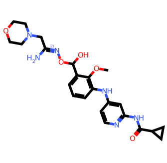 COc1c(Nc2ccnc(NC(=O)C3CC3)c2)cccc1C(O)O/N=C(\N)CN1CCOCC1